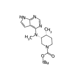 C[C@@H]1CCN(C(=O)OC(C)(C)C)C[C@@H]1N(C)c1ncnc2[nH]ccc12